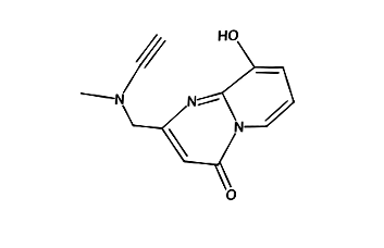 C#CN(C)Cc1cc(=O)n2cccc(O)c2n1